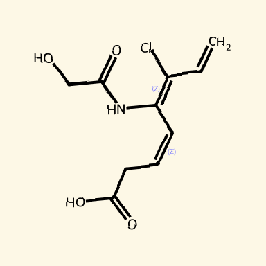 C=C/C(Cl)=C(\C=C/CC(=O)O)NC(=O)CO